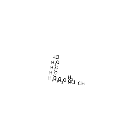 Cl.Cl.Cl.O.O.O.O.O.O.O